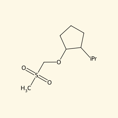 CC(C)C1CCCC1OCS(C)(=O)=O